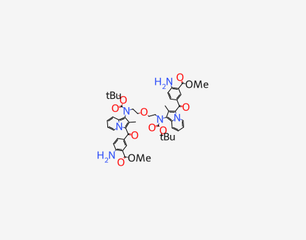 COC(=O)c1cc(C(=O)c2c(C)c(N(CCOCCN(C(=O)OC(C)(C)C)c3c(C)c(C(=O)c4ccc(N)c(C(=O)OC)c4)n4ccccc34)C(=O)OC(C)(C)C)c3ccccn23)ccc1N